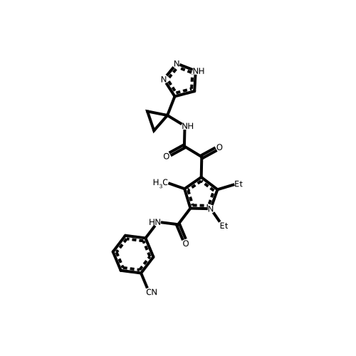 CCc1c(C(=O)C(=O)NC2(c3c[nH]nn3)CC2)c(C)c(C(=O)Nc2cccc(C#N)c2)n1CC